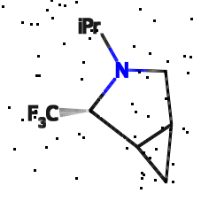 CC(C)N1CC2CC2[C@@H]1C(F)(F)F